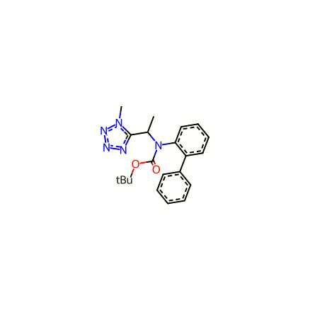 CC(c1nnnn1C)N(C(=O)OC(C)(C)C)c1ccccc1-c1ccccc1